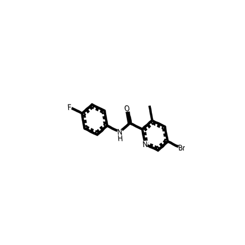 Cc1cc(Br)cnc1C(=O)Nc1ccc(F)cc1